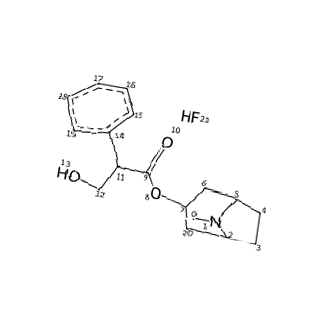 CN1C2CCC1CC(OC(=O)C(CO)c1ccccc1)C2.F